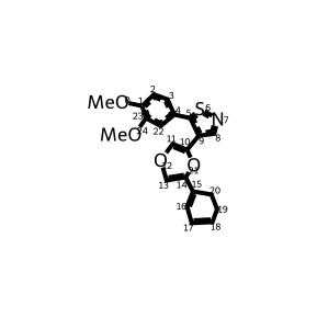 COc1ccc(-c2sncc2C2=COC=C(C3=CC=CCC3)O2)cc1OC